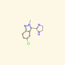 Cn1nc2ccc(Cl)cc2c1C1=NCCN1